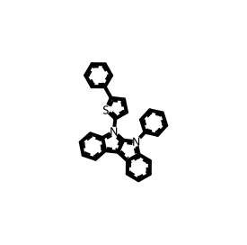 c1ccc(-c2ccc(-n3c4ccccc4c4c5ccccc5n(-c5ccccc5)c43)s2)cc1